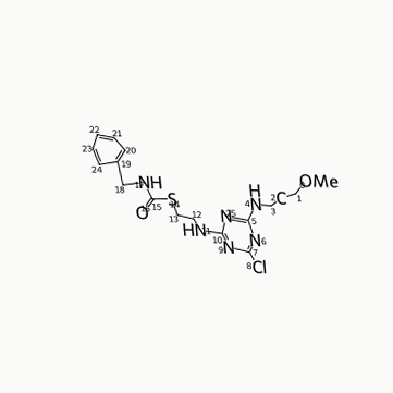 COCCCNc1nc(Cl)nc(NCCSC(=O)NCc2ccccc2)n1